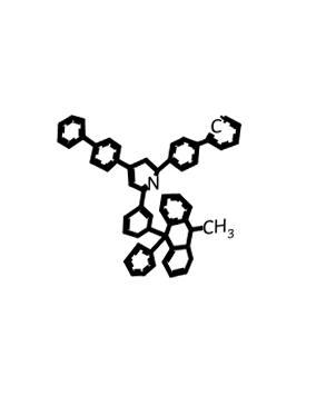 CC1c2ccccc2C(c2ccccc2)(C2C=C(C3=NC(c4ccc(-c5ccccc5)cc4)CC(c4ccc(-c5ccccc5)cc4)=C3)C=CC2)C2=CC=CCC21